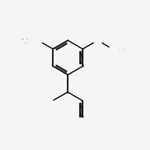 C=C[C](C)c1cc(OC)cc(OCCCC)c1